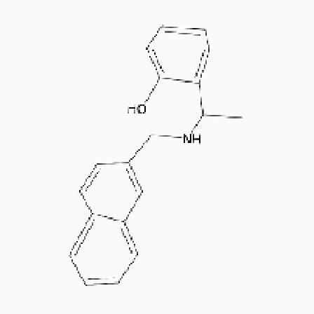 CC(NCc1ccc2ccccc2c1)c1ccccc1O